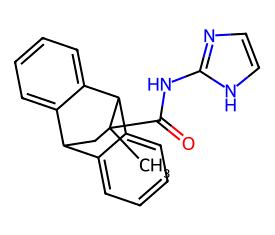 CC1(C(=O)Nc2ncc[nH]2)CC2c3ccccc3C1c1ccccc12